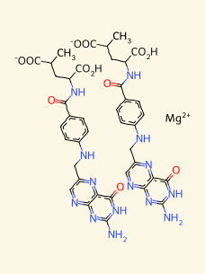 CC(CC(NC(=O)c1ccc(NCc2cnc3nc(N)[nH]c(=O)c3n2)cc1)C(=O)O)C(=O)[O-].CC(CC(NC(=O)c1ccc(NCc2cnc3nc(N)[nH]c(=O)c3n2)cc1)C(=O)O)C(=O)[O-].[Mg+2]